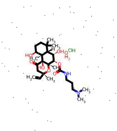 C=C[C@@]1(C)CC(=O)[C@]2(O)[C@@]3(C)[C@@H](O)CCC(C)(C)[C@@H]3[C@H](O)[C@H](OC(=O)NCCCN(C)C)[C@@]2(C)O1.Cl.O